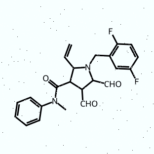 C=CC1C(C(=O)N(C)c2ccccc2)C(C=O)C(C=O)N1Cc1cc(F)ccc1F